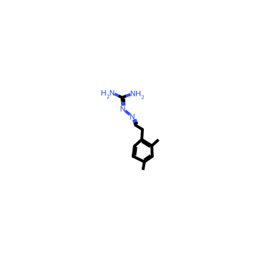 Cc1ccc(CC=NN=C(N)N)c(C)c1